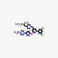 CC(CC1CCN(Cc2cc(Oc3ccc(N4CCN(C)CC4)nn3)nc(-c3cc(Cl)cc(Cl)c3)c2)CC1)C(=O)O